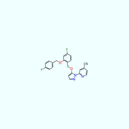 N#Cc1ccnc(-n2nccc2OCc2ccc(F)cc2OCc2ccc(F)cc2)c1